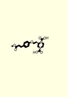 COC(=O)CCc1ccc(OCC[C@@H]2CN(C(=O)O)CCN2C(=O)O)cc1